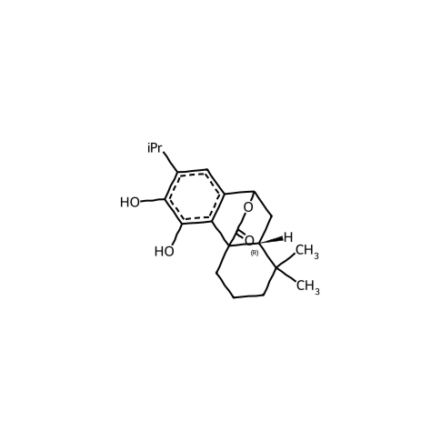 CC(C)c1cc2c(c(O)c1O)C13CCCC(C)(C)[C@H]1CC2OC3=O